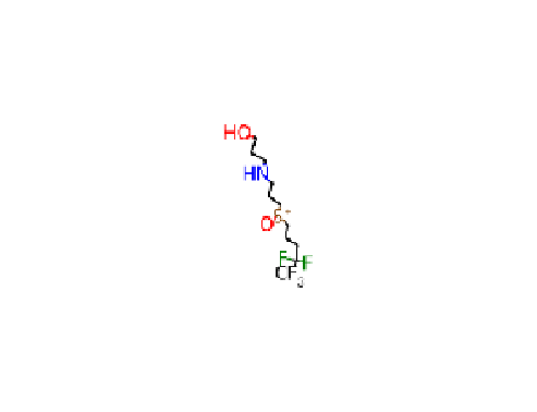 [O-][S+](CCCNCCCO)CCCC(F)(F)C(F)(F)F